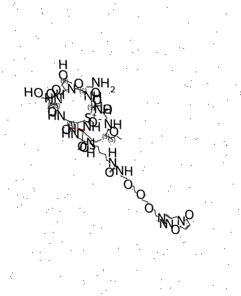 CC[C@H](C)[C@@H]1CCNC(=O)CNC(=O)[C@@H]2CNC(=O)[C@H]([C@@H](C)[C@@H](O)CO)NC(=O)C3C[C@@H](O)CN3C(=O)[C@H](CC(N)=O)NC(=O)[C@@H](C[S+]([O-])C3Nc4c(ccc(OC)c4CSCCCCNC(=O)NCCOCCOCCOCCn4cc(CN5C(=O)C=CC5=O)nn4)C32)NC(=O)CNC1=O